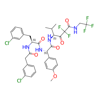 COc1ccc([C@H](NC(=O)[C@H](Cc2cccc(Cl)c2)NC(=O)Cc2cccc(Cl)c2)C(=O)N[C@H](C(=O)C(F)(F)C(=O)NCC(F)(F)F)C(C)C)cc1